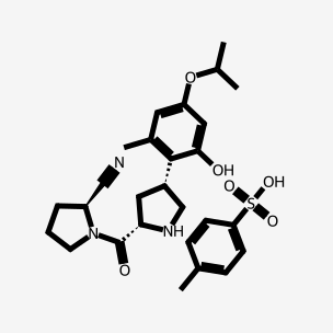 Cc1cc(OC(C)C)cc(O)c1[C@@H]1CN[C@H](C(=O)N2CCC[C@H]2C#N)C1.Cc1ccc(S(=O)(=O)O)cc1